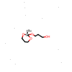 CCCC[Si]1(OCCCO)OCCCO1